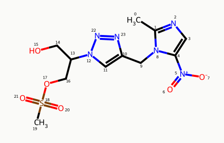 Cc1ncc([N+](=O)[O-])n1Cc1cn(C(CO)COS(C)(=O)=O)nn1